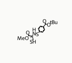 COC(=O)[C@H](CS)NSc1ccc(C(=O)OC(C)(C)C)cc1